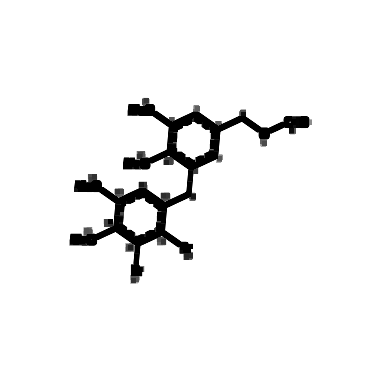 COc1cc(CO[C]=O)cc(Cc2cc(OC)c(OC)c(Br)c2Br)c1OC